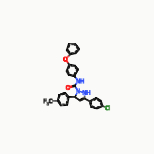 O=C(Nc1ccc(Oc2ccccc2)cc1)N1NC(c2ccc(Cl)cc2)=CC1c1ccc(C(F)(F)F)cc1